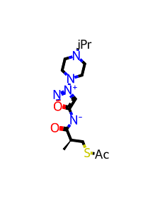 CC(=O)SC[C@@H](C)C(=O)[N-]c1c[n+](N2CCN(C(C)C)CC2)no1